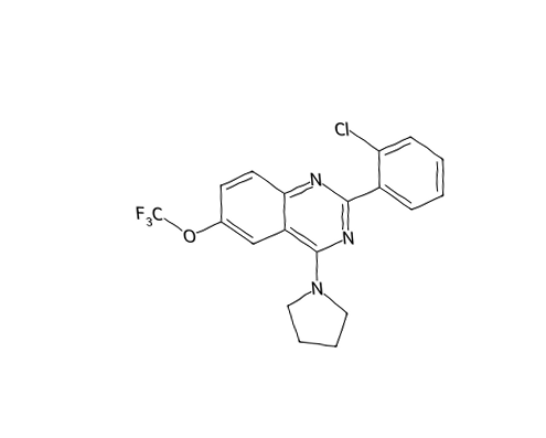 FC(F)(F)Oc1ccc2nc(-c3ccccc3Cl)nc(N3CCCC3)c2c1